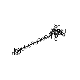 Cc1cc(F)cc(-c2cnc(N3CCN(C(=O)CCOCCOCCOCCOCCOCCOCCOCCOCCNC(=O)OC(C)(C)C)CC3)c(-c3nc4cc(Cl)ccc4[nH]3)c2N2CCC(NC(=O)OCc3ccccc3)CC2)c1